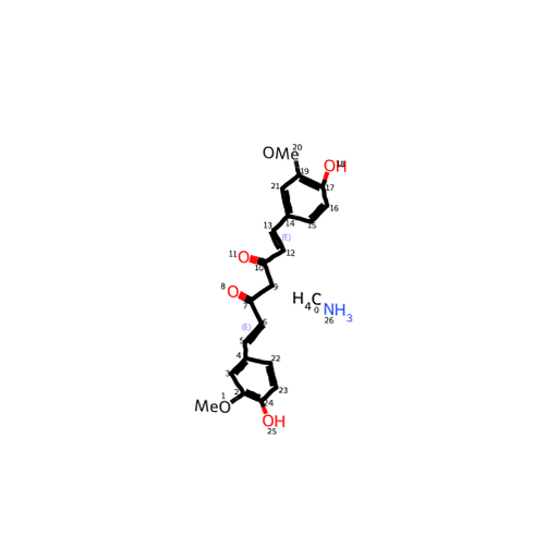 C.COc1cc(/C=C/C(=O)CC(=O)/C=C/c2ccc(O)c(OC)c2)ccc1O.N